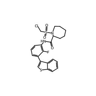 O=C(Nc1cccc(-c2csc3ccccc23)c1F)C1CCCCCN1S(=O)(=O)CCl